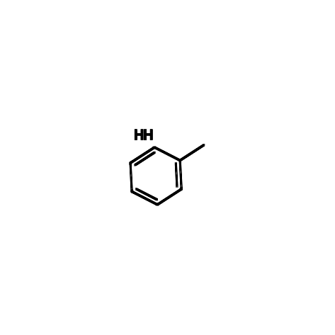 Cc1ccccc1.[HH]